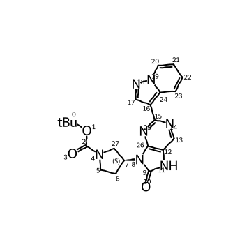 CC(C)(C)OC(=O)N1CC[C@H](n2c(=O)[nH]c3cnc(-c4cnn5ccccc45)nc32)C1